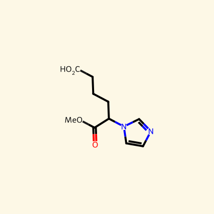 COC(=O)C(CCCC(=O)O)n1ccnc1